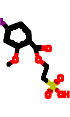 COc1cc(I)ccc1C(=O)OCCS(=O)(=O)O